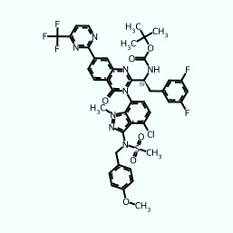 COc1ccc(CN(c2nn(C)c3c(-n4c([C@H](Cc5cc(F)cc(F)c5)NC(=O)OC(C)(C)C)nc5cc(-c6nccc(C(F)(F)F)n6)ccc5c4=O)ccc(Cl)c23)S(C)(=O)=O)cc1